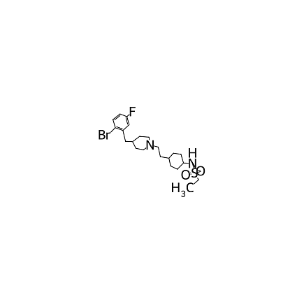 CCS(=O)(=O)NC1CCC(CCN2CCC(Cc3cc(F)ccc3Br)CC2)CC1